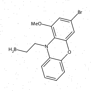 BCCN1c2ccccc2Oc2cc(Br)cc(OC)c21